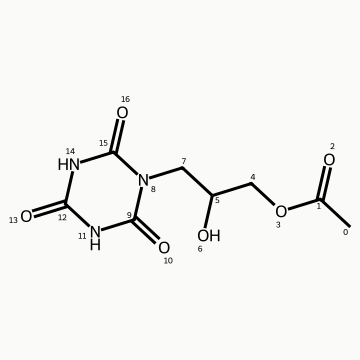 CC(=O)OCC(O)Cn1c(=O)[nH]c(=O)[nH]c1=O